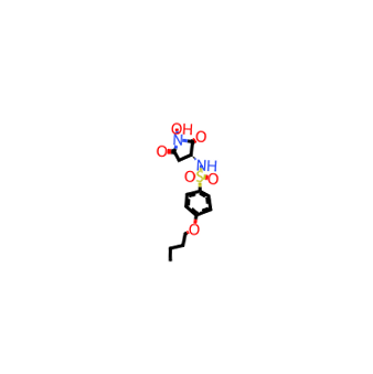 CCCCOc1ccc(S(=O)(=O)N[C@@H]2CC(=O)N(O)C2=O)cc1